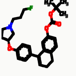 CC(C)(C)OC(=O)Oc1ccc2c(c1)C(c1ccc(O[C@H]3CCN(CCCF)C3)cc1)=CCC2